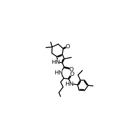 CCCCC(NC(=O)c1[nH]c2c(c1C)C(=O)CC(C)(C)C2)C(=O)Nc1ccc(C)cc1CC